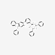 CN1C(c2cccc3c2sc2cc4c(cc23)c2ccccc2n4-c2ccccc2)=NC(c2ccccc2)=NC1c1ccccc1